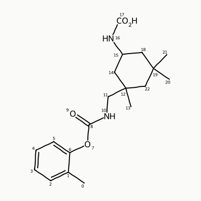 Cc1ccccc1OC(=O)NCC1(C)CC(NC(=O)O)CC(C)(C)C1